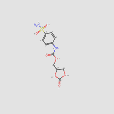 NS(=O)(=O)c1ccc(NC(=O)OCC2COC(=O)O2)cc1